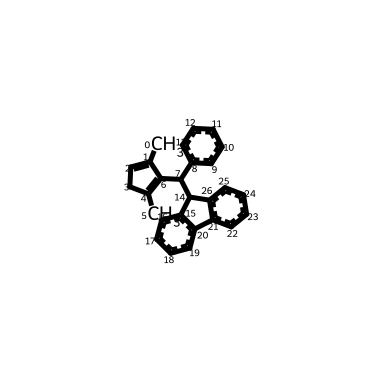 CC1=CCC(C)=C1C(c1ccccc1)C1c2ccccc2-c2ccccc21